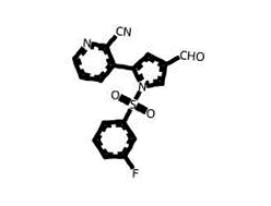 N#Cc1ncccc1-c1cc(C=O)cn1S(=O)(=O)c1cccc(F)c1